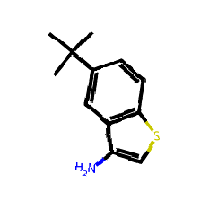 CC(C)(C)c1ccc2scc(N)c2c1